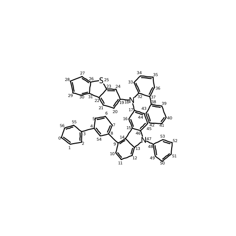 c1ccc(-c2cccc(-c3cccc4c3c3cc(N(c5ccc6c(c5)sc5ccccc56)c5ccccc5-c5ccccc5)ccc3n4-c3ccccc3)c2)cc1